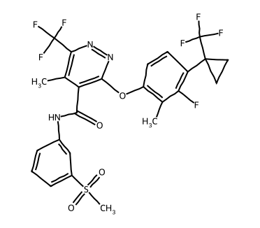 Cc1c(Oc2nnc(C(F)(F)F)c(C)c2C(=O)Nc2cccc(S(C)(=O)=O)c2)ccc(C2(C(F)(F)F)CC2)c1F